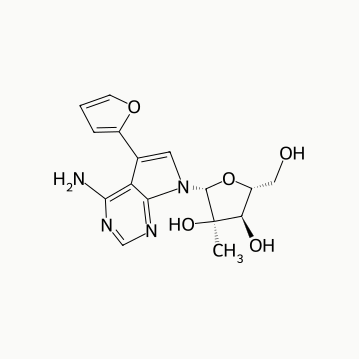 C[C@@]1(O)[C@H](O)[C@@H](CO)O[C@H]1n1cc(-c2ccco2)c2c(N)ncnc21